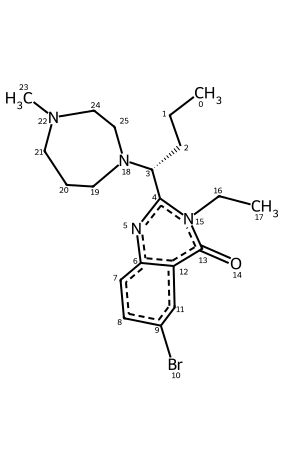 CCC[C@H](c1nc2ccc(Br)cc2c(=O)n1CC)N1CCCN(C)CC1